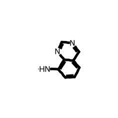 [NH]c1cccc2cncnc12